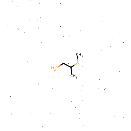 CSC(C)CP